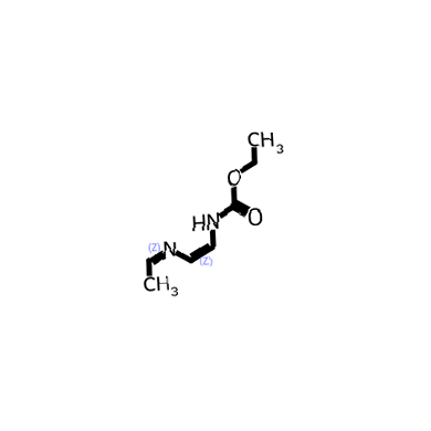 C/C=N\C=C/NC(=O)OCC